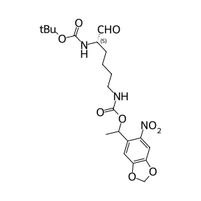 CC(OC(=O)NCCCC[C@@H](C=O)NC(=O)OC(C)(C)C)c1cc2c(cc1[N+](=O)[O-])OCO2